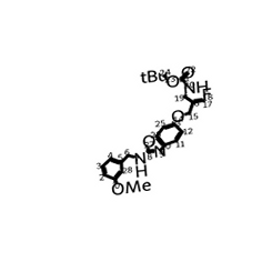 COc1cccc(CNc2nc3ccc(OCC(=CF)CNC(=O)OC(C)(C)C)cc3o2)c1